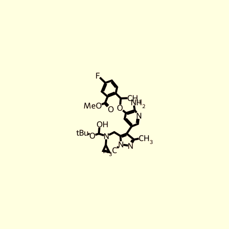 COC(=O)c1cc(F)ccc1C(C)Oc1cc(-c2c(C)nn(C)c2CN(C2CC2)C(O)OC(C)(C)C)cnc1N